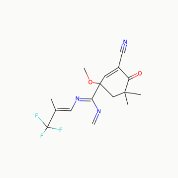 C=N/C(=N\C=C(/C)C(F)(F)F)C1(OC)C=C(C#N)C(=O)C(C)(C)C1